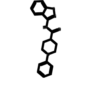 O=C(Nc1nsc2ccccc12)C1CCN(c2ccccc2)CC1